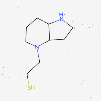 SCCN1CCCC2N[C]CC21